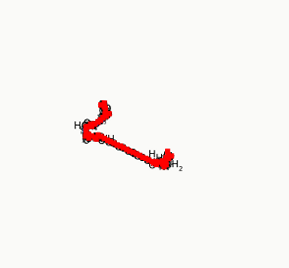 COc1cccc2cc(-c3nc([C@H]4CC[C@H](C(=O)NCCOCCOCCOCCOCCOCCOCCOCCOCCOCCNC(=O)O[C@H]5CC[C@H](CC[C@H](CC(=O)[C@H](C)/C=C(\C)[C@@H](O)CC(=O)[C@H](C)C[C@H](C)/C=C/C=C/C=C(\C)[C@H](CC6CCCC(C(=O)C(=O)N7CCCCC7)O6)OC)OC=O)CC5)CC4)n4ncnc(N)c34)[nH]c12